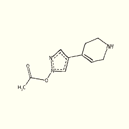 CC(=O)On1cc(C2=CCNCC2)cn1